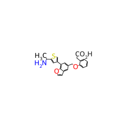 CC(N)c1cc(-c2cc(COc3ccccc3CC(=O)O)cc3ccoc23)cs1